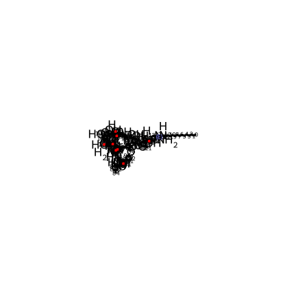 CCCCCCCCCCCCCCN/C(N)=N/c1ccc(CNC2(CC)C[C@H](OC3C(O)[C@H](O)C(CO)O[C@H]3Oc3c4cc5cc3Oc3ccc(cc3Cl)[C@@H](O)[C@@H]3NC(=O)[C@H](NC(=O)[C@@H]5NC(=O)C(CC(N)=O)NC(=O)[C@H](NC(=O)[C@@H](CC(C)C)NC)[C@H](O)c5ccc(cc5)O4)c4ccc(O)c(c4)-c4c(O)cc(O)cc4[C@@H](C(=O)O)NC3=O)OC(C)[C@H]2O)cc1